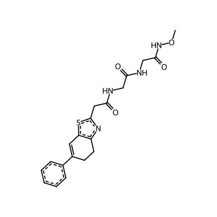 CONC(=O)CNC(=O)CNC(=O)Cc1nc2c(s1)C=C(c1ccccc1)CC2